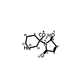 O=C1C=CC(=O)N1C1(C(=O)O)CCCNC1